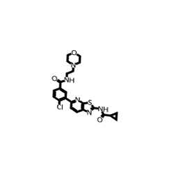 O=C(NCCN1CCOCC1)c1ccc(Cl)c(-c2ccc3nc(NC(=O)C4CC4)sc3n2)c1